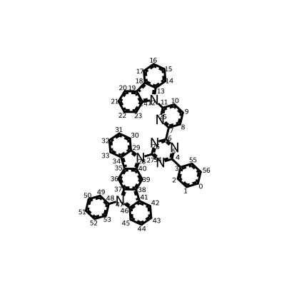 c1ccc(-c2nc(-c3cccc(-n4c5ccccc5c5ccccc54)n3)nc(-n3c4ccccc4c4cc5c(cc43)c3ccccc3n5-c3ccccc3)n2)cc1